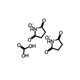 O=C(O)O.O=C1CCC(=O)[NH+]1[O-].O=C1CCC(=O)[NH+]1[O-]